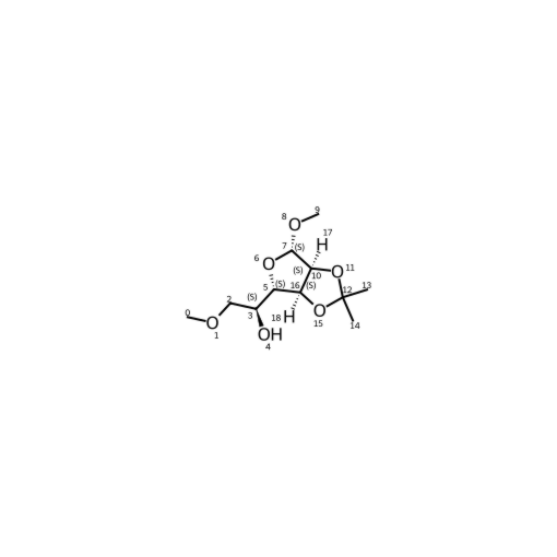 COC[C@H](O)[C@@H]1O[C@H](OC)[C@H]2OC(C)(C)O[C@H]21